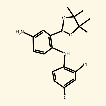 CC1(C)OB(c2cc(N)ccc2Nc2ccc(Cl)cc2Cl)OC1(C)C